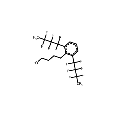 [O]CCCCc1c(C(F)(F)C(F)(F)C(F)(F)C(F)(F)F)cccc1C(F)(F)C(F)(F)C(F)(F)C(F)(F)F